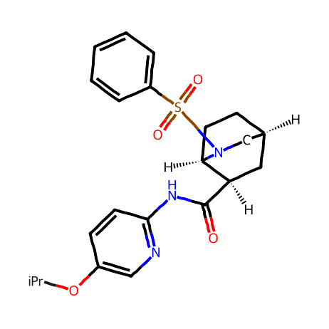 CC(C)Oc1ccc(NC(=O)[C@@H]2C[C@@H]3CC[C@H]2N(S(=O)(=O)c2ccccc2)C3)nc1